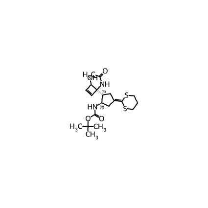 CC(=O)NC1([C@@H]2CC(=C3SCCCS3)C[C@H]2NC(=O)OC(C)(C)C)C=CC1O